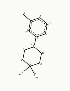 Cc1cncc(N2CCC(F)(F)CC2)n1